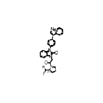 O=C(Cn1c(=O)n(-c2ccc(-c3cnn4ccccc34)cc2)c2ccccc21)N1CCC[C@H]1C(F)F